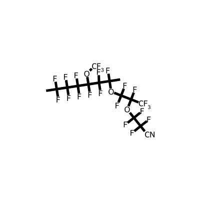 CC(F)(F)C(F)(F)C(F)(F)C(F)(OC(F)(F)F)C(F)(F)C(C)(F)OC(F)(F)C(F)(OC(F)(F)C(F)(F)C#N)C(F)(F)F